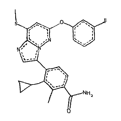 CSc1cc(Oc2cccc(F)c2)nn2c(-c3ccc(C(N)=O)c(C)c3C3CC3)cnc12